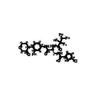 O=C(NC[C@@H](NC(=O)C(F)(F)C(F)F)C(=O)Nc1ccc(N2CCOCC2=O)c(F)c1)c1ccc(Cl)s1